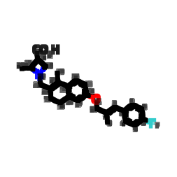 CC(=Cc1ccc(F)cc1)COc1ccc2c(c1)CCC(CN1CC(C(=O)O)C1C)=C2C